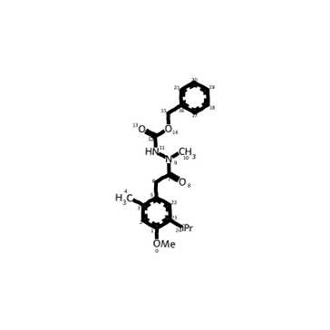 COc1cc(C)c(CC(=O)N(C)NC(=O)OCc2ccccc2)cc1C(C)C